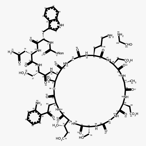 CCCCCCCCCC(=O)N[C@@H](Cc1c[nH]c2ccccc12)C(=O)N[C@@H](CC(N)=O)C(=O)N[C@@H](CC(=O)O)C(=O)N[C@H]1C(=O)NCC(=O)N[C@@H](CCCN)C(=O)N[C@@H](CC(=O)O)C(=O)N[C@H](C)C(=O)N[C@@H](CC(=O)O)C(=O)NCC(=O)N[C@H](CO)C(=O)N[C@H]([C@@H](C)CC(=O)O)C(=O)N[C@@H](CC(=O)c2ccccc2N)C(=O)OC1C.NC[C]=O